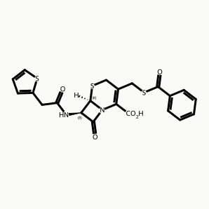 O=C(Cc1cccs1)N[C@@H]1C(=O)N2C(C(=O)O)=C(CSC(=O)c3ccccc3)CS[C@H]12